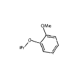 COc1cc[c]cc1OC(C)C